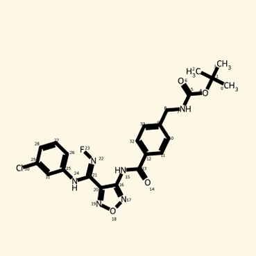 CC(C)(C)OC(=O)NCc1ccc(C(=O)Nc2nonc2C(=NF)Nc2cccc(Cl)c2)cc1